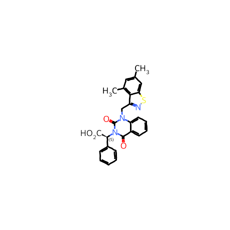 Cc1cc(C)c2c(Cn3c(=O)n([C@H](C(=O)O)c4ccccc4)c(=O)c4ccccc43)nsc2c1